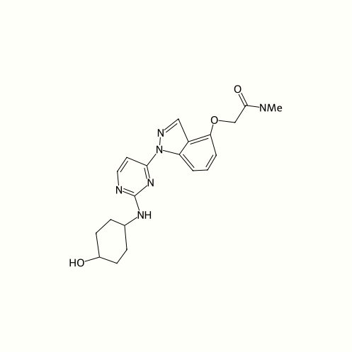 CNC(=O)COc1cccc2c1cnn2-c1ccnc(NC2CCC(O)CC2)n1